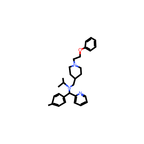 Cc1ccc(C(c2ccccn2)N(CC2CCN(CCOc3ccccc3)CC2)C(C)C)cc1